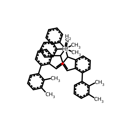 Cc1cccc(-c2cccc3c2C=C[CH]3[Hf]([CH3])([CH3])(=[SiH2])([c]2ccccc2)([c]2ccccc2)[CH]2C=Cc3c(-c4cccc(C)c4C)cccc32)c1C